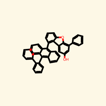 Oc1cc(-c2ccccc2)c2oc3cccc(-c4c5ccccc5c(-c5ccccc5-c5ccccc5)c5ccccc45)c3c2c1